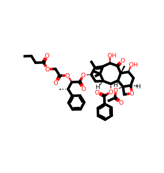 CCCC(=O)OCC(=O)O[C@@H](C(=O)O[C@H]1C[C@@H]2[C@@H](OC(=O)c3ccccc3)[C@@H]3[C@]4(OC(C)=O)CO[C@@H]4C[C@H](O)[C@@]3(C)C(=O)[C@H](O)C(=C1C)C2(C)C)[C@@H](C)c1ccccc1